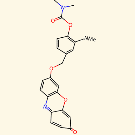 CNc1cc(COc2ccc3nc4ccc(=O)cc-4oc3c2)ccc1OC(=O)N(C)C